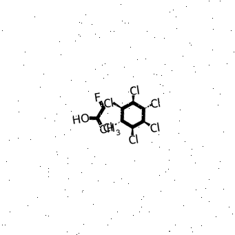 CC(O)CF.Cl[C@H]1[C@H](Cl)[C@@H](Cl)[C@@H](Cl)[C@H](Cl)[C@H]1Cl